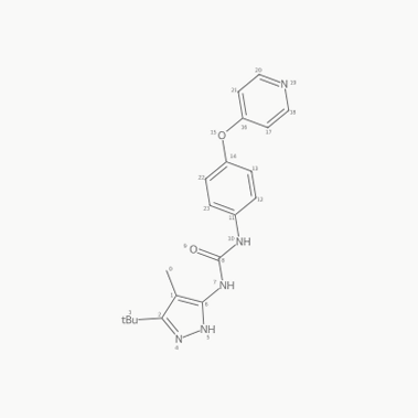 Cc1c(C(C)(C)C)n[nH]c1NC(=O)Nc1ccc(Oc2ccncc2)cc1